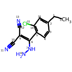 CCc1ccc(C(NN)=C(C#N)C#N)c(Cl)c1